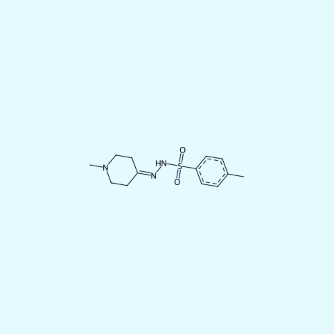 Cc1ccc(S(=O)(=O)NN=C2CCN(C)CC2)cc1